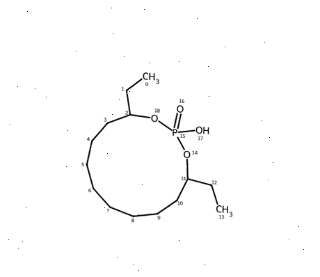 CCC1CCCCCCCCC(CC)OP(=O)(O)O1